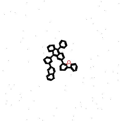 c1ccc(-c2c3ccccc3c(-c3cccc(-c4ccc5ccccc5c4)c3)c3cc(-c4cccc5c4oc4ccccc45)ccc23)cc1